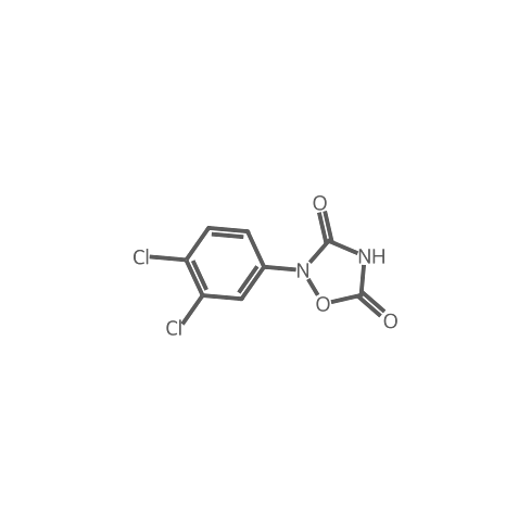 O=c1[nH]c(=O)n(-c2ccc(Cl)c(Cl)c2)o1